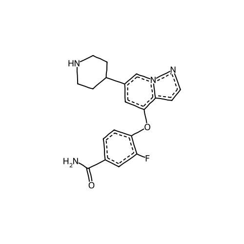 NC(=O)c1ccc(Oc2cc(C3CCNCC3)cn3nccc23)c(F)c1